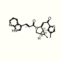 Cc1csc2c1[C@@]13C(=CC2=O)N(C(=O)/C=C/c2c[nH]c4ncccc24)C[C@@H]1[C@@H]3C